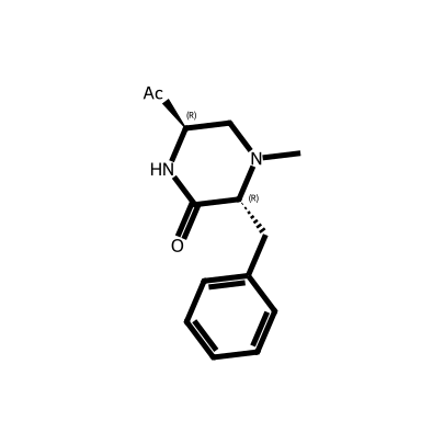 CC(=O)[C@H]1CN(C)[C@H](Cc2ccccc2)C(=O)N1